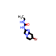 CCNC(=O)Nc1cn2ccc(Br)cc2n1